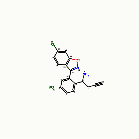 C#CCC(N)c1ccccc1-c1noc2cc(Cl)ccc12.Cl